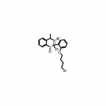 CC1c2ccccc2[S+]([O-])C(c2ccccc2OCCCCBr)(C(C)C)[NH+]1[O-]